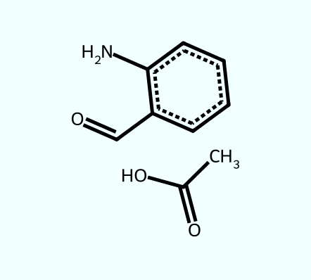 CC(=O)O.Nc1ccccc1C=O